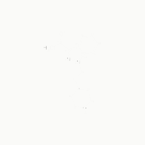 CC(=O)c1nn(CCC2CCOCC2)c2ccccc12